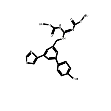 CC(C)(C)OC(=O)/N=C(/NCc1cc(-c2ccc(C(C)(C)C)cc2)cc(-c2cscn2)c1)NC(=O)OC(C)(C)C